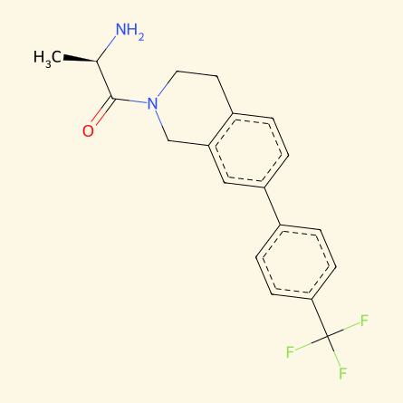 C[C@@H](N)C(=O)N1CCc2ccc(-c3ccc(C(F)(F)F)cc3)cc2C1